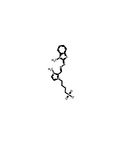 Cn1cc[n+](CCCCS(=O)(=O)[O-])c1/C=N/N=c1/sc2ccccc2n1C